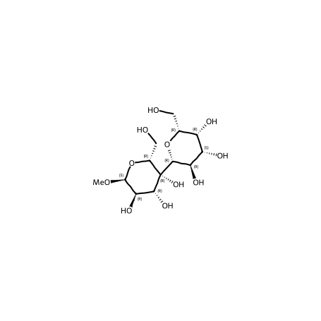 CO[C@H]1O[C@H](CO)[C@@](O)([C@@H]2O[C@H](CO)[C@H](O)[C@H](O)[C@H]2O)[C@H](O)[C@H]1O